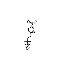 CC(C)(CCc1ccc([N+](=O)[O-])cn1)[Si](C)(C)O